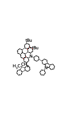 CC(C)(C)c1cc(-c2cccc3cccc(-c4ccccc4N(c4ccc(-c5ccc6c7ccccc7n(-c7ccccc7)c6c5)cc4)c4cccc(-c5cccc6c5C(C)(C)c5ccccc5-6)c4)c23)cc(C(C)(C)C)c1